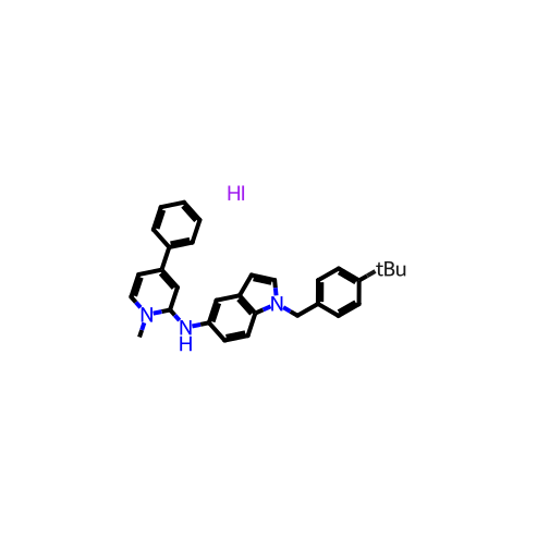 CN1C=CC(c2ccccc2)=CC1Nc1ccc2c(ccn2Cc2ccc(C(C)(C)C)cc2)c1.I